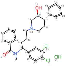 CN(C(=O)c1ccccc1)C(CCCN1CC[C@@H](c2ccccc2)[C@H](O)C1)c1ccc(Cl)c(Cl)c1.Cl